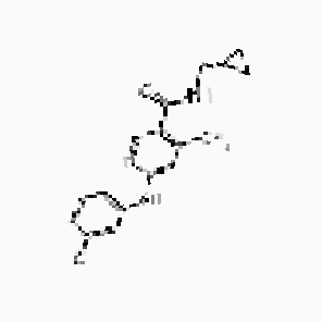 O=C(NCC1CC1)c1cnc(Nc2cccc(Cl)c2)cc1C(F)(F)F